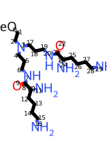 COCCN(CCCNC(=O)[C@@H](N)CCCCN)CCCNC(=O)[C@@H](N)CCCCN